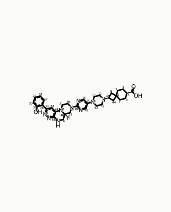 O=C(O)[C@H]1CCC2(CC1)C[C@H](N1CCN(c3cnc(N4CCN5c6cc(-c7ccccc7O)nnc6NC[C@H]5C4)nc3)CC1)C2